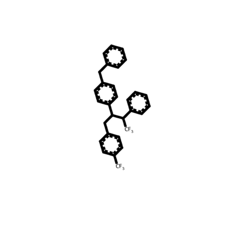 FC(F)(F)c1ccc(C[C](c2ccc(Cc3ccccc3)cc2)C(c2ccccc2)C(F)(F)F)cc1